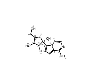 N#C[C@@]1(c2ccc3c(N)ncnn23)O[C@H](CO)C(O)[C@H]1O